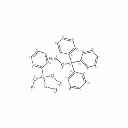 CCO[Si](OCC)(OCC)c1ccccc1.[SiH3]OC(c1ccccc1)(c1ccccc1)c1ccccc1